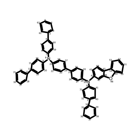 c1ccc(-c2ccc(N(c3ccc(-c4ccccc4)cc3)c3ccc(-c4ccc(N(c5ccc(-c6ccccc6)cc5)c5ccc6c(c5)oc5ccccc56)cc4)cc3)cc2)cc1